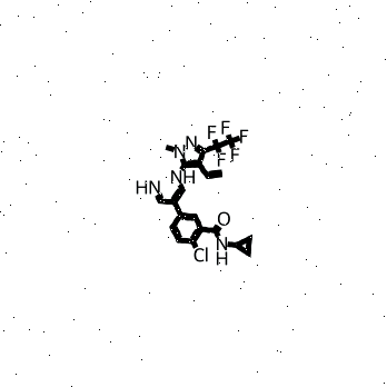 C=Cc1c(C(F)(F)C(F)(F)F)nn(C)c1N/C=C(\C=N)c1ccc(Cl)c(C(=O)NC2CC2)c1